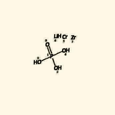 O=P(O)(O)O.[Cr].[LiH].[Zr]